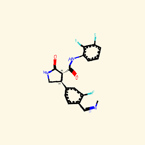 C/N=C\c1ccc([C@H]2CNC(=O)[C@@H]2C(=O)Nc2cccc(F)c2F)cc1F